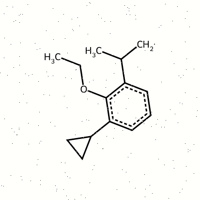 [CH2]C(C)c1cccc(C2CC2)c1OCC